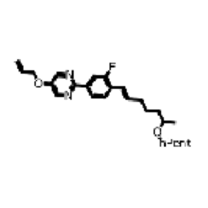 C=CCOc1cnc(-c2ccc(/C=C/CCCC(C)OCCCCC)c(F)c2)nc1